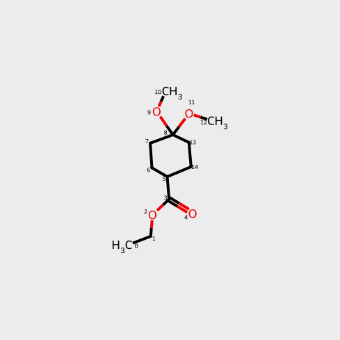 CCOC(=O)C1CCC(OC)(OC)CC1